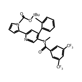 Cc1ccccc1-c1cc(-c2cccn2C(=O)OC(C)(C)C)ncc1N(C)C(=O)c1cc(C(F)(F)F)cc(C(F)(F)F)c1